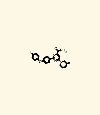 CC1CCCN(c2cc(C(N)=O)nc(-c3ccc(Oc4ccc(F)cc4)cc3)n2)C1